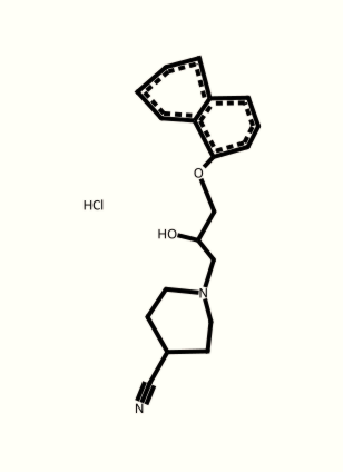 Cl.N#CC1CCN(CC(O)COc2cccc3ccccc23)CC1